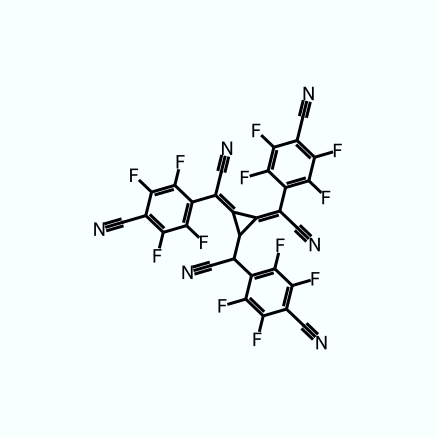 N#CC(=C1C(=C(C#N)c2c(F)c(F)c(C#N)c(F)c2F)C1C(C#N)c1c(F)c(F)c(C#N)c(F)c1F)c1c(F)c(F)c(C#N)c(F)c1F